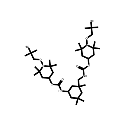 CC(C)(O)CON1C(C)(C)CC(OC(=O)NCC2(C)CC(NC(=O)OC3CC(C)(C)N(OCC(C)(C)O)C(C)(C)C3)CC(C)(C)C2)CC1(C)C